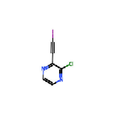 Clc1nccnc1C#CI